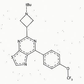 CC(C)(C)N1CC(c2nc(-c3ccc(OC(F)(F)F)cc3)c3ncsc3n2)C1